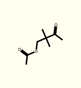 CC(=O)OCC(C)(C)C(C)=O